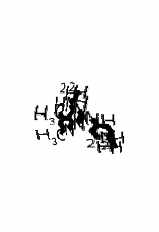 [2H]C([2H])([2H])Nc1nc(NC2CCN(C([2H])([2H])[2H])CC2)nc2nc(C)cc(C)c12